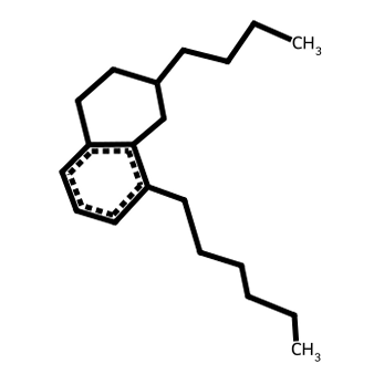 CCCCCCc1cccc2c1CC(CCCC)CC2